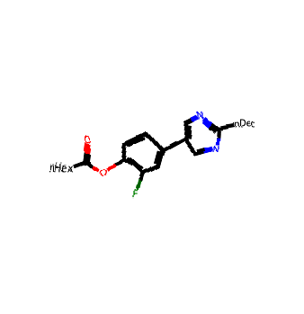 CCCCCCCCCCc1ncc(-c2ccc(OC(=O)CCCCCC)c(F)c2)cn1